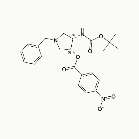 CC(C)(C)OC(=O)N[C@H]1CN(Cc2ccccc2)C[C@H]1OC(=O)c1ccc([N+](=O)[O-])cc1